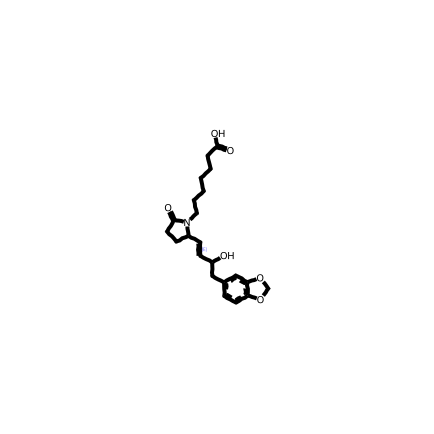 O=C(O)CCCCCCN1C(=O)CCC1/C=C/C(O)Cc1ccc2c(c1)OCO2